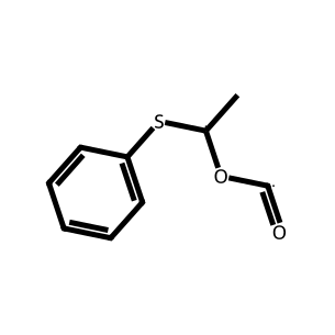 C[C](O[C]=O)Sc1ccccc1